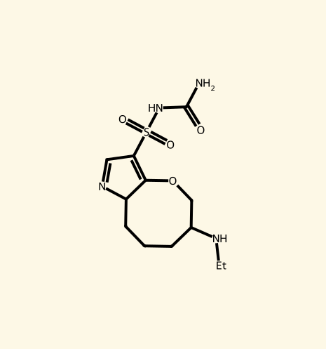 CCNC1CCCC2N=CC(S(=O)(=O)NC(N)=O)=C2OC1